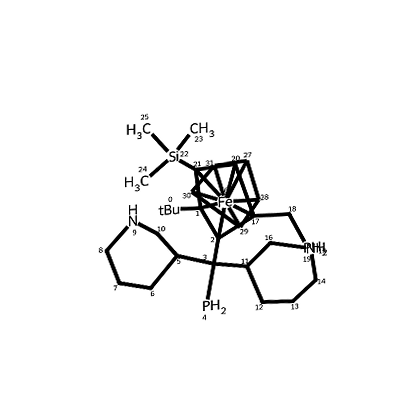 CC(C)(C)[C]12[C]3(C(P)(C4CCCNC4)C4CCCNC4)[C]4(CP)[CH]5[C]1([Si](C)(C)C)[Fe]54321678[CH]2[CH]1[CH]6[CH]7[CH]28